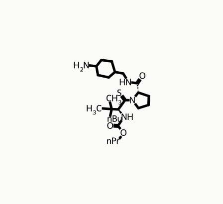 CCCCC(C)(C)[C@H](NC(=O)OCCC)C(=S)N1CCC[C@H]1C(=O)NCC1CCC(N)CC1